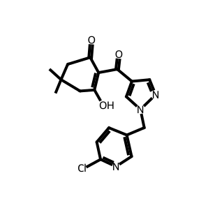 CC1(C)CC(=O)C(C(=O)c2cnn(Cc3ccc(Cl)nc3)c2)=C(O)C1